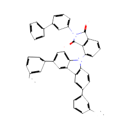 N#Cc1cccc(-c2ccc3c(c2)c2cc(-c4cccc(C#N)c4)ccc2n3-c2cccc3c2C(=O)N(c2cccc(-c4ccccc4)c2)C3=O)c1